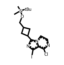 CC(C)(C)[Si](C)(C)OCC1CC(c2nc(I)c3c(Cl)nccn23)C1